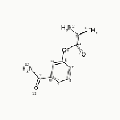 C[C@H](N)C(=O)Oc1cccc(C(N)=O)c1